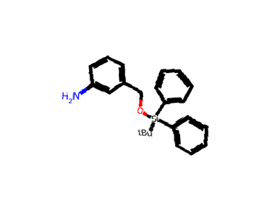 CC(C)(C)[Si](OCc1cccc(N)c1)(c1ccccc1)c1ccccc1